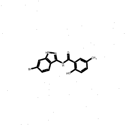 Cc1ccc(O)c(C(=O)Nc2n[nH]c3cc(Br)ccc23)c1